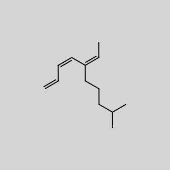 C=C/C=C\C(=C/C)CCCC(C)C